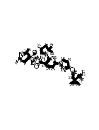 Cc1nn(C)cc1S(=O)(=O)NC(=O)c1ccc(-n2ccc(OCC3(C(F)(F)F)CC3)n2)nc1N1C[C@@H](C)CC1(C)C